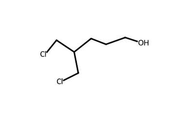 OCCCC(CCl)CCl